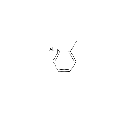 Cc1ccccn1.[Al]